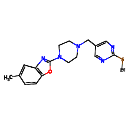 CCSc1ncc(CN2CCN(c3nc4cc(C)ccc4o3)CC2)cn1